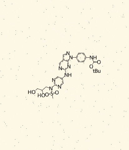 CC(C)(C)OC(=O)Nc1ccc(-n2ncc3cnc(Nc4cnc(N(CC(O)CO)S(C)(=O)=O)nc4)nc32)cc1